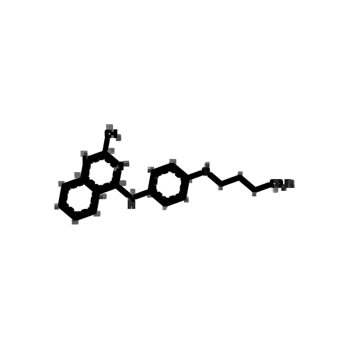 CCOC(=O)CCCOc1ccc(Nc2nc(C)nc3ccccc23)cc1